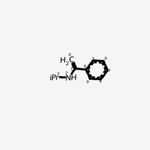 C=C(NC(C)C)c1ccccc1